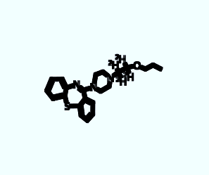 [2H]C([2H])(OCCC)C([2H])([2H])N1CCN(C2=Nc3ccccc3Sc3ccccc32)CC1